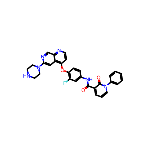 O=C(Nc1ccc(Oc2ccnc3cnc(N4CCNCC4)cc23)c(F)c1)c1cccn(-c2ccccc2)c1=O